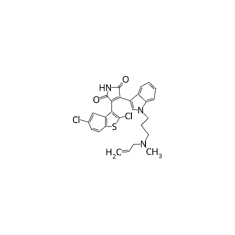 C=CCN(C)CCCn1cc(C2=C(c3c(Cl)sc4ccc(Cl)cc34)C(=O)NC2=O)c2ccccc21